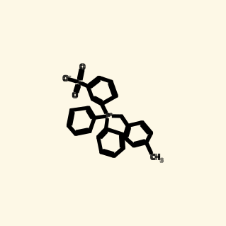 Cc1ccc(C[P+](c2ccccc2)(c2ccccc2)c2cccc(S(=O)(=O)[O-])c2)cc1